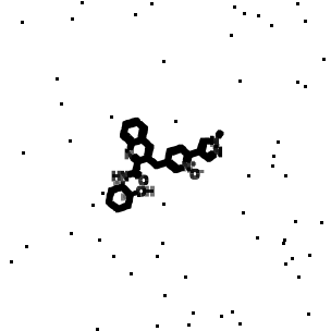 Cn1cc(-c2ccc(Cc3cc4ccccc4nc3C(=O)N[C@H]3CCCC[C@@H]3O)c[n+]2[O-])cn1